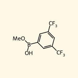 COB(O)c1cc(C(F)(F)F)cc(C(F)(F)F)c1